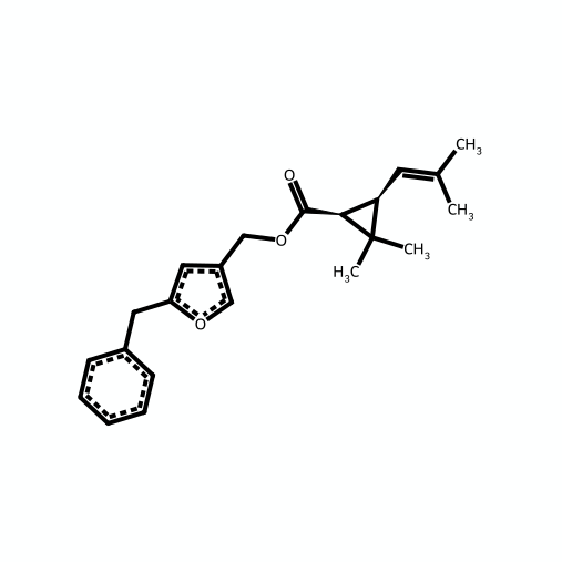 CC(C)=C[C@@H]1[C@H](C(=O)OCc2coc(Cc3ccccc3)c2)C1(C)C